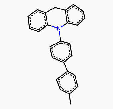 Cc1ccc(-c2ccc(N3c4ccccc4Cc4ccccc43)cc2)cc1